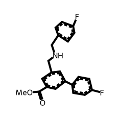 COC(=O)c1cc(CNCc2ccc(F)cc2)cc(-c2ccc(F)cc2)c1